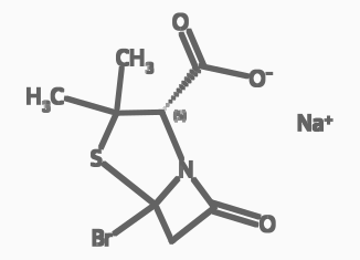 CC1(C)SC2(Br)CC(=O)N2[C@H]1C(=O)[O-].[Na+]